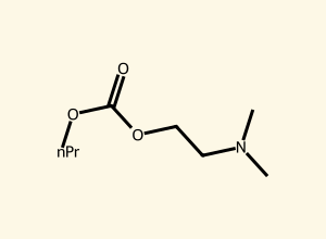 CCCOC(=O)OCCN(C)C